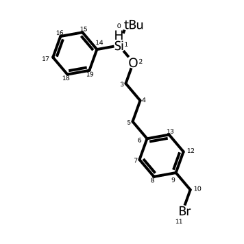 CC(C)(C)[SiH](OCCCc1ccc(CBr)cc1)c1ccccc1